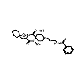 CCCCN1C(=O)[C@@H](CC2(O)CCCCC2)NC(=O)C12CCN(CCCNC(=O)c1ccccc1)CC2.Cl